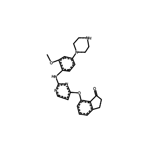 COc1cc(N2CCNCC2)ccc1Nc1nccc(Oc2cccc3c2C(=O)CC3)n1